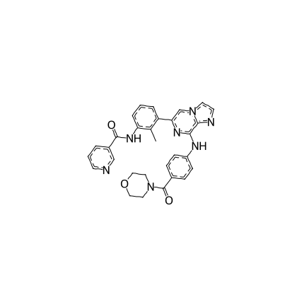 Cc1c(NC(=O)c2cccnc2)cccc1-c1cn2ccnc2c(Nc2ccc(C(=O)N3CCOCC3)cc2)n1